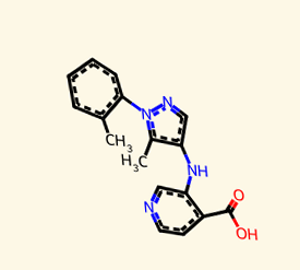 Cc1ccccc1-n1ncc(Nc2cnccc2C(=O)O)c1C